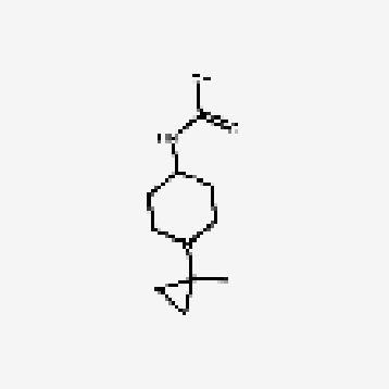 CC1(N2CCC(NC(=O)O)CC2)CC1